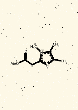 COC(=O)Cc1nc(C)c(C)n1C